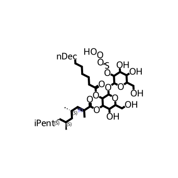 CCCCCCCCCCCCCCCC(=O)OC1C(OC2OC(CO)C(O)C(O)C2OSOOO)OC(CO)C(O)C1OC(=O)/C(C)=C/[C@@H](C)C[C@@H](C)C[C@@H](C)CCC